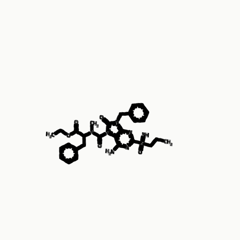 CCCS(=N)(=O)c1nc(N)c2c(n1)n(Cc1ccccc1)c(=O)n2C(=O)N(C)C(Cc1ccccc1)C(=O)OCC